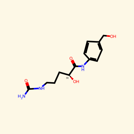 NC(=O)NCCC[C@H](O)C(=O)Nc1ccc(CO)cc1